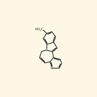 O=C(O)c1ccc2cc3n(c2c1)CC=Cc1ncccc1-3